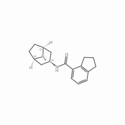 CN1[C@@H]2CC[C@H]1C[C@@H](NC(=O)c1cccc3c1CCC3)C2